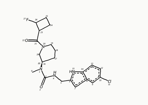 CN(C(=O)NCc1cc2cc(Cl)ccc2[nH]1)[C@@H]1CCCN(C(=O)C2CCC2F)C1